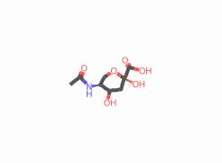 CC(=O)N[C@H]1CO[C@](O)(C(=O)O)CC1O